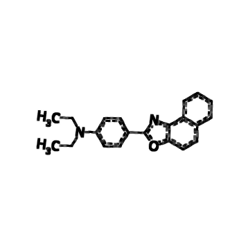 CCN(CC)c1ccc(-c2nc3c(ccc4ccccc43)o2)cc1